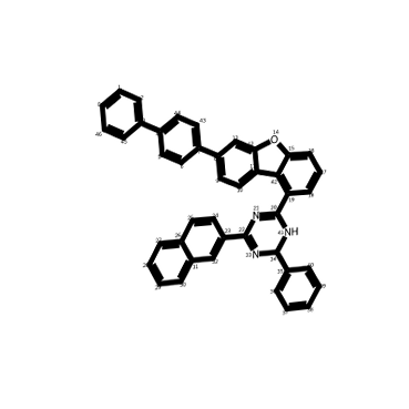 c1ccc(-c2ccc(-c3ccc4c(c3)oc3cccc(C5=NC(c6ccc7ccccc7c6)=NC(c6ccccc6)N5)c34)cc2)cc1